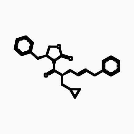 O=C1OC[C@H](Cc2ccccc2)N1C(=O)[C@@H](C/C=C/Cc1ccccc1)CC1CC1